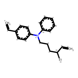 C=Cc1ccc(N(CCCC(C=C)CC)c2ccccc2)cc1